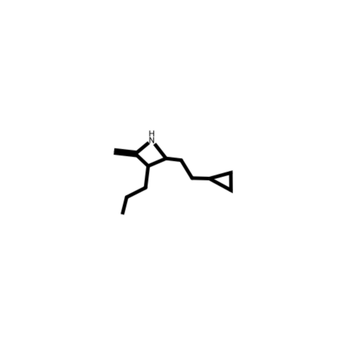 C=C1NC(CCC2CC2)C1CCC